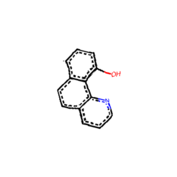 Oc1cc[c]c2ccc3cccnc3c12